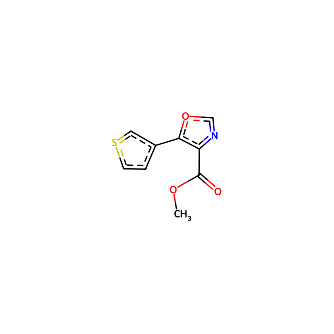 COC(=O)c1ncoc1-c1ccsc1